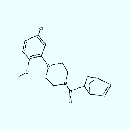 COc1ccc(Cl)cc1N1CCN(C(=O)C2CC3C=CC2C3)CC1